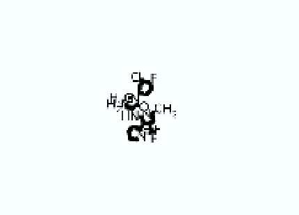 Cc1cc(C(F)(F)F)c(-c2ccccn2)c(NC(=CN)C(=O)N(C)c2ccc(F)c(Cl)c2)n1